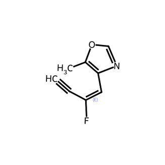 C#C/C(F)=C\c1ncoc1C